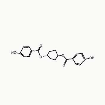 O=C(O[C@H]1CC[C@H](OC(=O)c2ccc(O)cc2)CC1)c1ccc(O)cc1